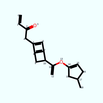 C=CC(=O)CC1=CC2=C1CC2C(=C)OC1=CCC(C)C1